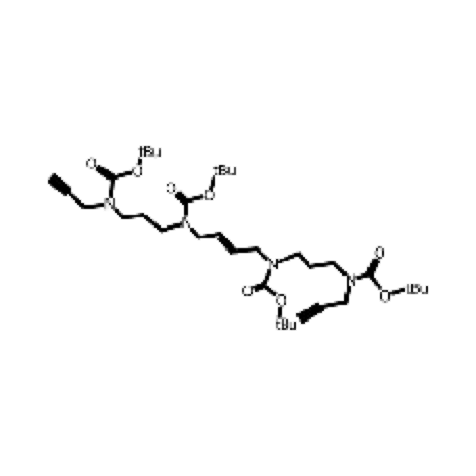 C#CCN(CCCN(CC=CCN(CCCN(CC#C)C(=O)OC(C)(C)C)C(=O)OC(C)(C)C)C(=O)OC(C)(C)C)C(=O)OC(C)(C)C